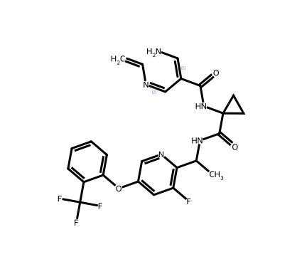 C=C/N=C\C(=C/N)C(=O)NC1(C(=O)NC(C)c2ncc(Oc3ccccc3C(F)(F)F)cc2F)CC1